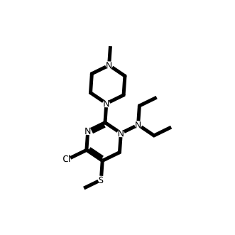 CCN(CC)N1CC(SC)=C(Cl)N=C1N1CCN(C)CC1